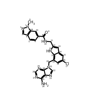 Cn1ncc2ccc(C(=O)NCc3cc4cc(Cl)cc(Cn5cnc6c(N)ncnc65)c4[nH]3)cc21